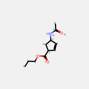 CCCOC(=O)C1C=CC(NC(C)=O)C1